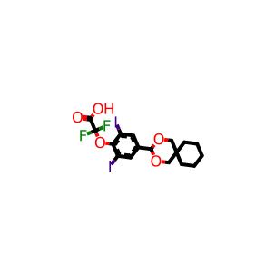 O=C(O)C(F)(F)Oc1c(I)cc(C2OCC3(CCCCC3)CO2)cc1I